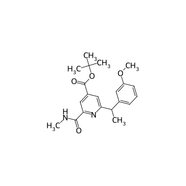 CNC(=O)c1cc(C(=O)OC(C)(C)C)cc(C(C)c2cccc(OC)c2)n1